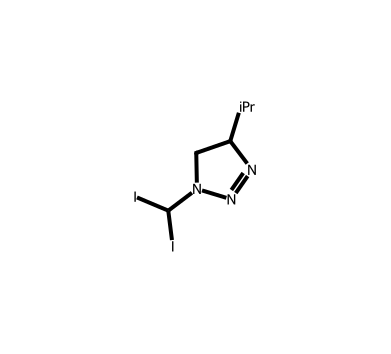 CC(C)C1CN(C(I)I)N=N1